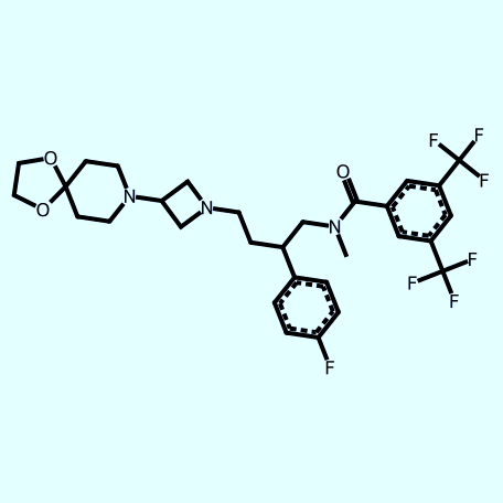 CN(CC(CCN1CC(N2CCC3(CC2)OCCO3)C1)c1ccc(F)cc1)C(=O)c1cc(C(F)(F)F)cc(C(F)(F)F)c1